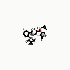 O=C(NC1CC1)C(=O)[C@H](C[C@@H]1CCNC1=O)NC(=O)c1cc(F)ccc1NC(=O)C1(C(F)(F)F)CC1